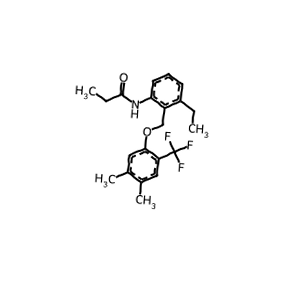 CCC(=O)Nc1cccc(CC)c1COc1cc(C)c(C)cc1C(F)(F)F